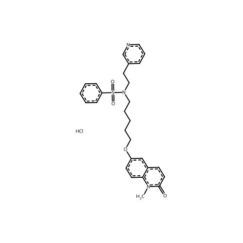 Cl.Cn1c(=O)ccc2cc(OCCCCCN(CCc3cccnc3)S(=O)(=O)c3ccccc3)ccc21